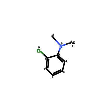 [CH2]C(=O)N(C)c1ccccc1Cl